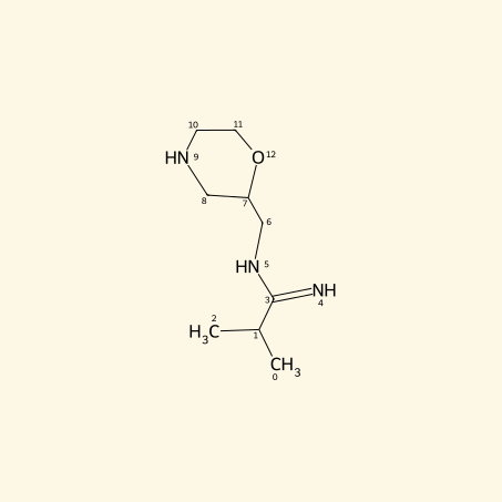 CC(C)C(=N)NCC1CNCCO1